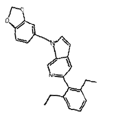 CCc1cccc(CC)c1-c1cc2ccn(-c3ccc4c(c3)OCO4)c2cn1